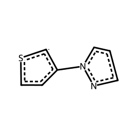 [c]1sccc1-n1cccn1